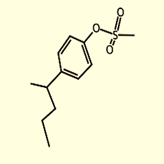 CCCC(C)c1ccc(OS(C)(=O)=O)cc1